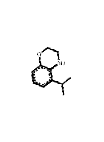 CC(C)c1cccc2c1NCCO2